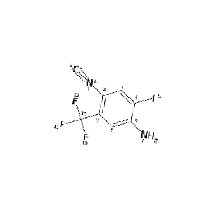 [C-]#[N+]c1cc(I)c(N)cc1C(F)(F)F